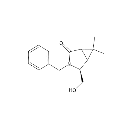 CC1(C)C2C(=O)N(Cc3ccccc3)[C@H](CO)C21